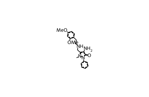 COc1ccc(CCNCc2c(N)c(=O)n(-c3ccccc3)n2C)c(OC)c1